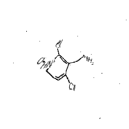 NC1=C(Cl)[NH+]([O-])C=C1Cl